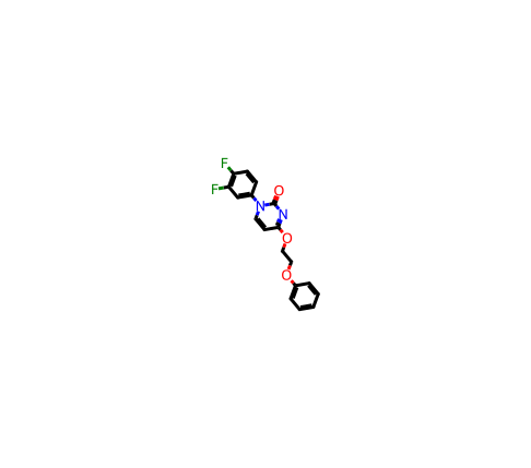 O=c1nc(OCCOc2ccccc2)ccn1-c1ccc(F)c(F)c1